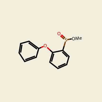 COS(=O)c1ccccc1Oc1ccccc1